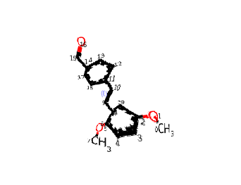 COc1ccc(OC)c(/C=C/c2ccc(C=O)cc2)c1